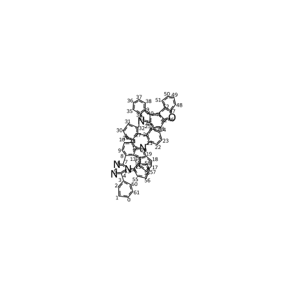 c1ccc(-c2nnc(-c3cccc4c3c3ccccc3n4-c3ccccc3-c3ccccc3-n3c4ccccc4c4c5c(ccc43)oc3ccccc35)n2-c2ccccc2)cc1